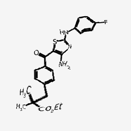 CCOC(=O)C(C)(C)Cc1ccc(C(=O)c2sc(Nc3ccc(F)cc3)nc2N)cc1